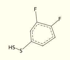 Fc1ccc(SS)cc1F